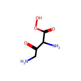 NCC(=O)C(N)C(=O)OO